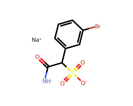 [NH]C(=O)C(c1cccc(Br)c1)S(=O)(=O)[O-].[Na+]